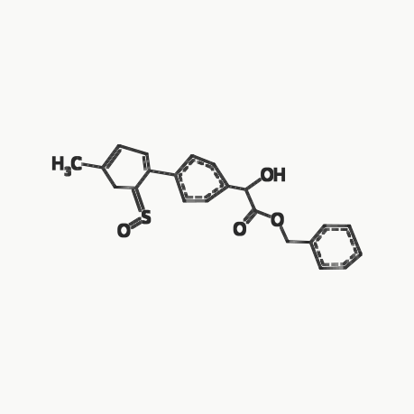 CC1=CC=C(c2ccc(C(O)C(=O)OCc3ccccc3)cc2)C(=S=O)C1